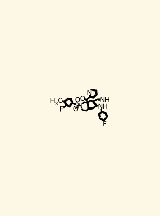 Cc1ccc(S(=O)(=O)N2CCC3=CC(Nc4ccc(F)cc4)=C(C=N)CC3(C(=O)c3ccccn3)C2)cc1F